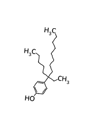 CCCCCCCCC(CC)(CCCCC)c1ccc(O)cc1